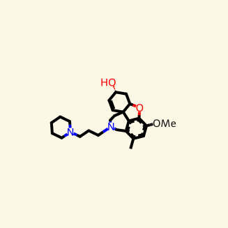 COc1cc(C)c2c3c1OC1C[C@@H](O)C=CC31CCN(CCCN1CCCCC1)C2